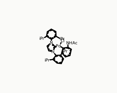 CC(=O)Nc1cccc[c]1[Pd]([Cl])=[c]1n(-c2c(C(C)C)cccc2C(C)C)ccn1-c1c(C(C)C)cccc1C(C)C